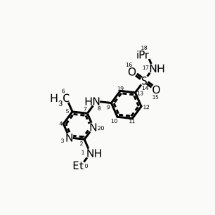 CCNc1ncc(C)c(Nc2cccc(S(=O)(=O)NC(C)C)c2)n1